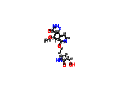 CC(C)Oc1cc2c(OCC[C@@H]3CC(CO)C(=O)N3)nccc2cc1C(N)=O